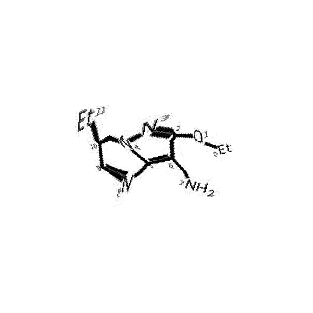 CCOc1nn2c(c1N)N=CC2CC